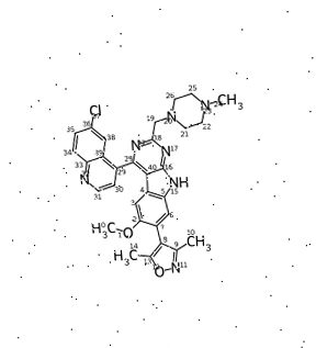 COc1cc2c(cc1-c1c(C)noc1C)[nH]c1nc(CN3CCN(C)CC3)nc(-c3ccnc4ccc(Cl)cc34)c12